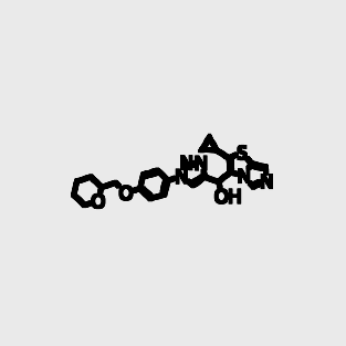 OC(c1cn(-c2ccc(OCC3CCCCO3)cc2)nn1)c1c(C2CC2)sc2cncn12